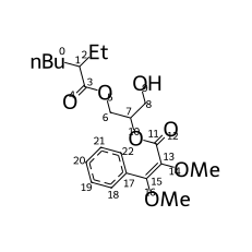 CCCCC(CC)C(=O)OCC(CO)OC(=O)C(OC)=C(OC)c1ccccc1